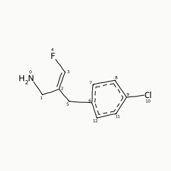 NCC(=CF)Cc1ccc(Cl)cc1